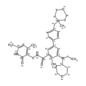 CCN(c1cc(-c2ccc(C[N+]3(C)CCOCC3)cc2)cc(C(=O)NCc2c(C)cc(C)[nH]c2=O)c1C)C1CCOCC1